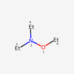 [CH2]CON(CC)CC